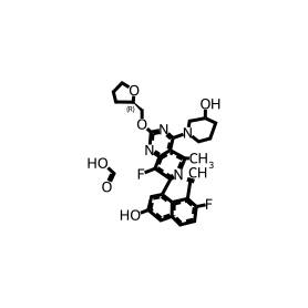 C#Cc1c(F)ccc2cc(O)cc(-c3nc(C)c4c(N5CCCC(O)C5)nc(OC[C@H]5CCCO5)nc4c3F)c12.O=CO